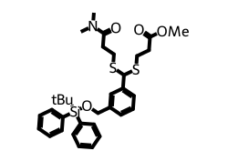 COC(=O)CCSC(SCCC(=O)N(C)C)c1cccc(CO[Si](c2ccccc2)(c2ccccc2)C(C)(C)C)c1